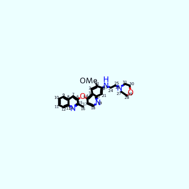 COc1cc2c(Oc3cc4ccccc4nc3C)ccnc2cc1NCCN1CCOCC1